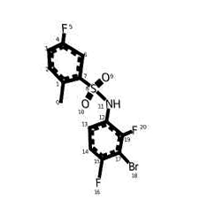 Cc1ccc(F)cc1S(=O)(=O)Nc1ccc(F)c(Br)c1F